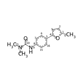 Cc1ccc(-c2ccc(NC(=O)N(C)C)cc2)o1